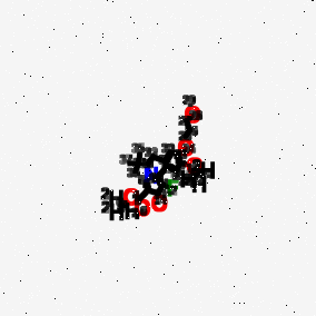 [2H]C([2H])([2H])OC(=O)c1cn2c(c(F)c1=O)-c1cc(OC([2H])([2H])[2H])c(OCCCOC)cc1C[C@H]2C(C)(C)C